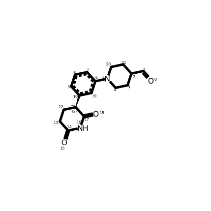 O=CC1CCN(c2cccc([C@@H]3CCC(=O)NC3=O)c2)CC1